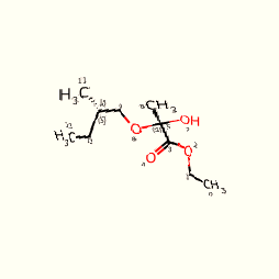 CCOC(=O)[C@@](C)(O)OC[C@@H](C)CC